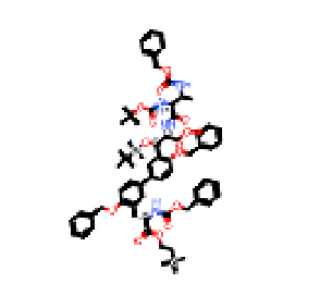 COC(=O)[C@@H](NC(=O)[C@@H](NC(=O)OC(C)(C)C)C(C)NC(=O)OCc1ccccc1)[C@H](O[Si](C)(C)C(C)(C)C)c1cc(-c2ccc(OCc3ccccc3)c(C[C@H](NC(=O)OCc3ccccc3)C(=O)OCC[Si](C)(C)C)c2)ccc1OCc1ccccc1